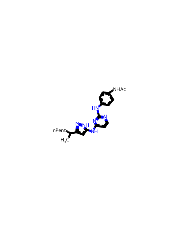 CCCCCC(C)c1cc(Nc2ccnc(Nc3ccc(NC(C)=O)cc3)n2)[nH]n1